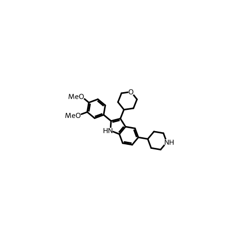 COc1ccc(-c2[nH]c3ccc(C4CCNCC4)cc3c2C2CCOCC2)cc1OC